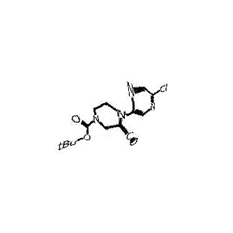 CC(C)(C)OC(=O)N1CCN(c2cnc(Cl)cn2)C(=C=O)C1